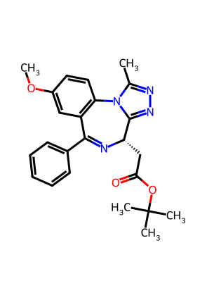 COc1ccc2c(c1)C(c1ccccc1)=N[C@@H](CC(=O)OC(C)(C)C)c1nnc(C)n1-2